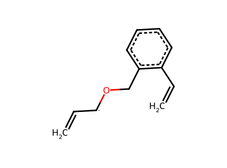 C=C[CH]OCc1ccccc1C=C